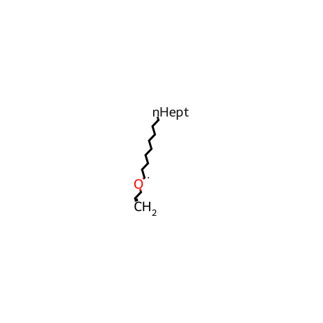 C=CCO[CH]CCCCCCCCCCCCCCC